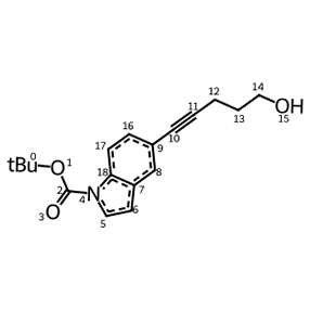 CC(C)(C)OC(=O)n1ccc2cc(C#CCCCO)ccc21